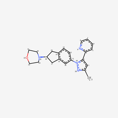 FC(F)(F)c1cc(-c2ccccn2)n(-c2ccc3c(c2)C[C@@H](N2CCOCC2)C3)n1